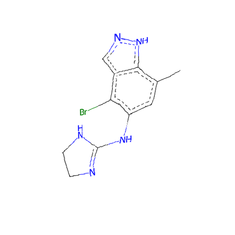 Cc1cc(NC2=NCCN2)c(Br)c2cn[nH]c12